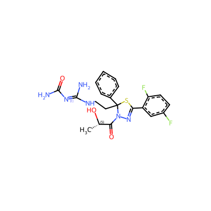 C[C@H](O)C(=O)N1N=C(c2cc(F)ccc2F)SC1(CCN/C(N)=N/C(N)=O)c1ccccc1